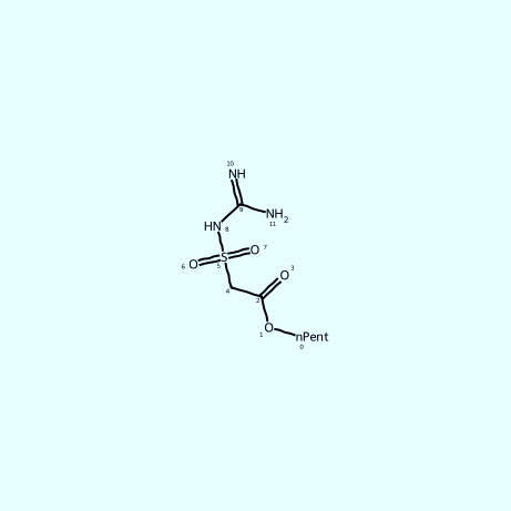 CCCCCOC(=O)CS(=O)(=O)NC(=N)N